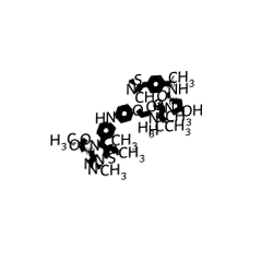 COC(=O)C[C@@H]1N=C(c2ccc(Nc3ccc(OCC(=O)N[C@H](C(=O)N4C[C@H](O)C[C@H]4C(=O)N[C@@H](C)c4ccc(-c5scnc5C)cc4)C(C)(C)C)cc3)cc2)c2c(sc(C)c2C)-n2c(C)nnc21